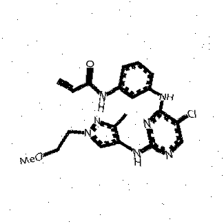 C=CC(=O)Nc1cccc(Nc2nc(Nc3cn(CCOC)nc3C)ncc2Cl)c1